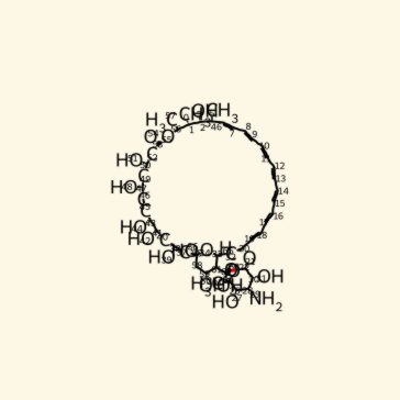 C[C@@H]1[C@H](O)[C@@H](C)/C=C/C=C/C=C/C=C/C=C/C=C/C=C/[C@H](O[C@@H]2O[C@H](C)[C@@H](O)[C@H](N)[C@H]2O)C[C@@H]2O[C@](O)(C[C@@H](O)C[C@@H](O)[C@H](O)CC[C@@H](O)C[C@@H](O)CC(=O)O[C@H]1C)C[C@H](O)C2C(=O)O